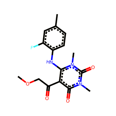 COCC(=O)c1c(Nc2ccc(C)cc2F)n(C)c(=O)n(C)c1=O